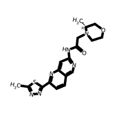 Cc1nnc(-c2ccc3cnc(NC(=O)CN4CCOC[C@H]4C)cc3n2)s1